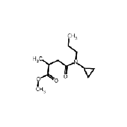 CCCN(C(=O)CC(C)C(=O)OC)C1CC1